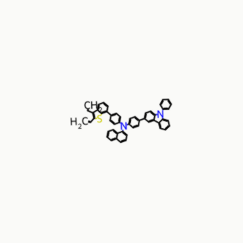 C=Cc1sc2c(-c3ccc(N(c4ccc(-c5ccc6c(c5)c5ccccc5n6-c5ccccc5)cc4)c4cccc5ccccc45)cc3)cccc2c1C=C